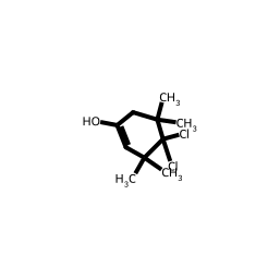 CC1(C)C=C(O)CC(C)(C)C1(Cl)Cl